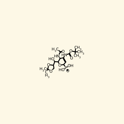 CC(=O)NC1C(NC(=O)OC(C)(C)C)=CC(P(=O)(O)O)OC1C(O)C1COC(C)(C)O1